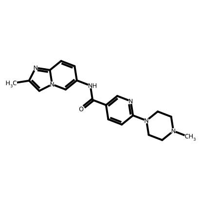 Cc1cn2cc(NC(=O)c3ccc(N4CCN(C)CC4)nc3)ccc2n1